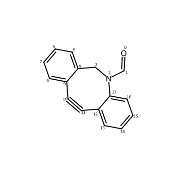 O=CN1Cc2ccccc2C#Cc2ccccc21